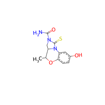 CC1Oc2ccc(O)cc2N2C(=S)N(C(N)=O)CC12